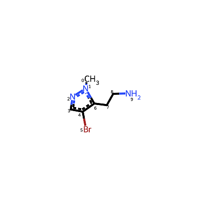 Cn1ncc(Br)c1CCN